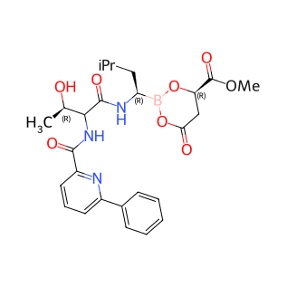 COC(=O)[C@H]1CC(=O)OB([C@H](CC(C)C)NC(=O)C(NC(=O)c2cccc(-c3ccccc3)n2)[C@@H](C)O)O1